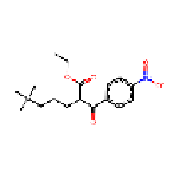 CCOC(=O)C(CCC[Si](C)(C)C)C(=O)c1ccc([N+](=O)[O-])cc1